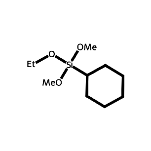 CCO[Si](OC)(OC)C1CCCCC1